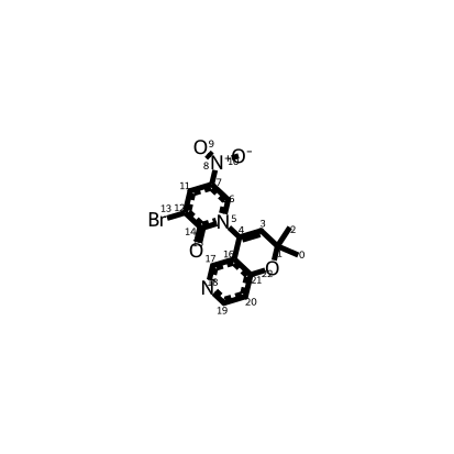 CC1(C)C=C(n2cc([N+](=O)[O-])cc(Br)c2=O)c2cnccc2O1